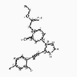 CCOC(=O)Cn1ccc(-n2ccnc2C#Cc2ccc(C)cc2C)cc1=O